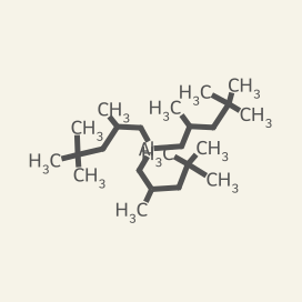 CC([CH2][Al]([CH2]C(C)CC(C)(C)C)[CH2]C(C)CC(C)(C)C)CC(C)(C)C